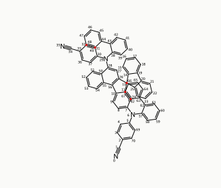 N#Cc1ccc(N(c2ccc3c(c2)C2(c4ccccc4-c4ccccc42)c2cc(N(c4ccc(C#N)cc4)c4ccccc4-c4ccccc4)c4ccccc4c2-3)c2ccccc2-c2ccccc2)cc1